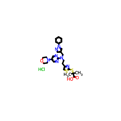 CC(C)(Sc1nc(CCN(Cc2cnn(-c3ccccc3)c2)c2ncc(N3CCOCC3)cn2)cs1)C(=O)O.Cl